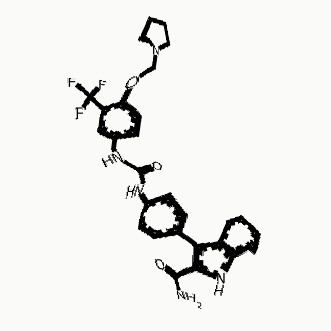 NC(=O)c1[nH]c2ccccc2c1-c1ccc(NC(=O)Nc2ccc(OCN3CCCC3)c(C(F)(F)F)c2)cc1